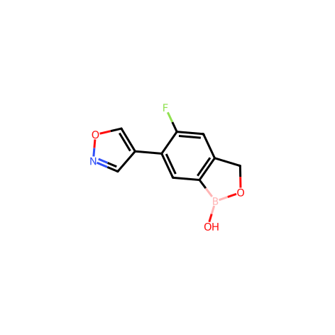 OB1OCc2cc(F)c(-c3cnoc3)cc21